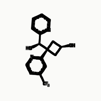 O[C@@H](c1ccccn1)[C@]1(c2cc(C(F)(F)F)ccn2)C[C@@H](O)C1